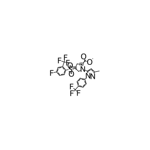 COC(=O)[C@@H]1C[C@@H](S(=O)(=O)c2ccc(F)cc2C(F)(F)F)CN1c1cc(C)nn1-c1ccc(C(F)(F)F)cc1